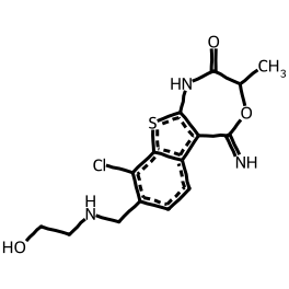 CC1OC(=N)c2c(sc3c(Cl)c(CNCCO)ccc23)NC1=O